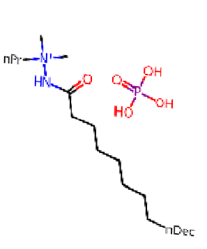 CCCCCCCCCCCCCCCCCC(=O)N[N+](C)(C)CCC.O=P(O)(O)O